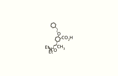 CCN(CC)C(=O)/C=C(\C)c1ccc(OCCc2ccccc2)c(C(=O)O)c1